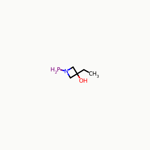 CCC1(O)CN(P)C1